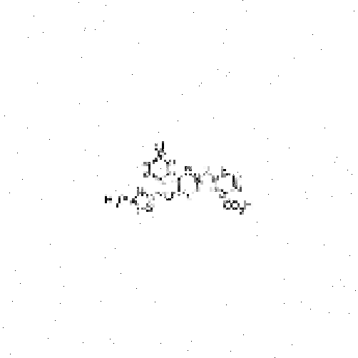 Cc1csc(C(OC2CCN(Cc3cc(C(=O)O)ccn3)CC2)c2ccc(Cl)cc2)n1